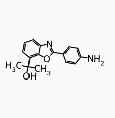 CC(C)(O)c1cccc2nc(-c3ccc(N)cc3)oc12